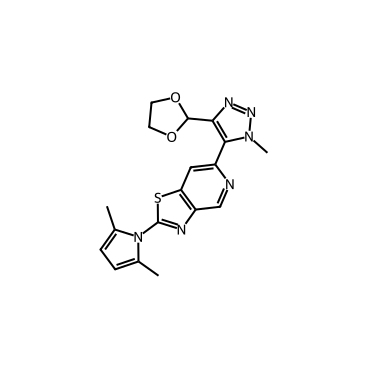 Cc1ccc(C)n1-c1nc2cnc(-c3c(C4OCCO4)nnn3C)cc2s1